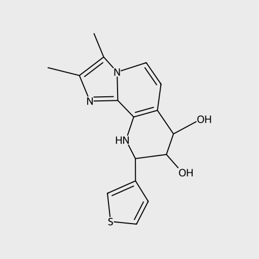 Cc1nc2c3c(ccn2c1C)C(O)C(O)C(c1ccsc1)N3